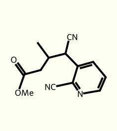 COC(=O)CC(C)C(C#N)c1cccnc1C#N